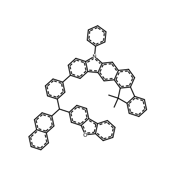 CC1(C)c2ccccc2-c2ccc3cc4c(cc3c21)c1cc(-c2cccc(C(c3ccc5ccccc5c3)c3ccc5c(c3)oc3ccccc35)c2)ccc1n4-c1ccccc1